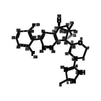 Cc1n[nH]c(N2CCO[C@H]([C@@]34CC[C@@H](c5cc(-c6c(F)cccc6F)nnc53)C4(C)C)C2)n1